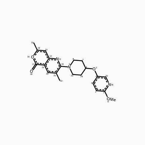 COc1ccc(OC2CCN(c3nc4cc(C)oc(=O)c4cc3C)CC2)cn1